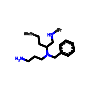 CSCCC(CNC(C)C)N(CCCN)Cc1ccccc1